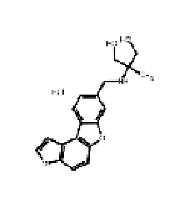 CC(CO)(CO)NCc1ccc2c(c1)oc1ccc3occc3c12.Cl